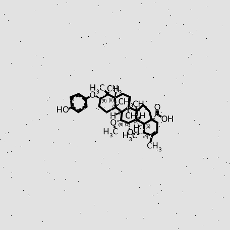 CO[C@H]1[C@@H](O)[C@@H]2[C@@H]3[C@@H](C)C(C)=CC[C@]3(C(=O)O)CC[C@@]2(C)[C@]2(C)CC[C@H]3C(C)(C)[C@H](Oc4ccc(O)cc4)CC[C@]3(C)[C@@H]12